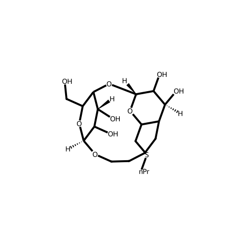 CCCSCC1O[C@@H]2OC3C(CO)O[C@H](OCCCCC1[C@H](O)C2O)C(O)[C@H]3O